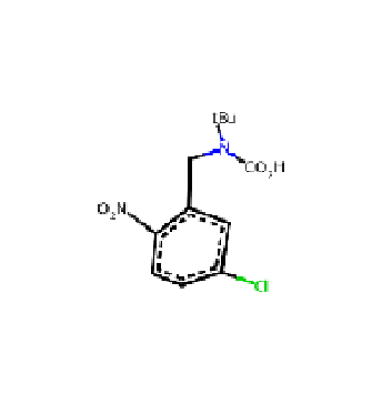 CC(C)(C)N(Cc1cc(Cl)ccc1[N+](=O)[O-])C(=O)O